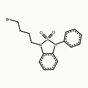 O=S1(=O)N(CCCCBr)c2ccccc2N1c1ccccc1